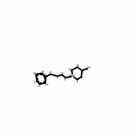 IC1CCN(CCCCc2ccccc2)CC1